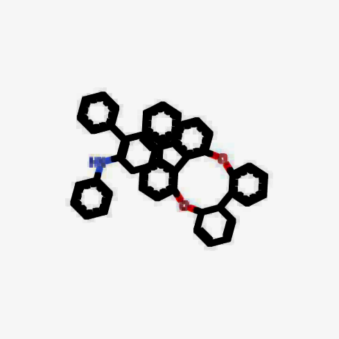 C1=CC2Oc3cccc(-c4ccccc4)c3-c3c(cccc3C3=CC(c4ccccc4)=C(Nc4ccccc4)CC3)Oc3ccccc3C2C=C1